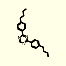 CCCCc1ccc(-c2ncnc(-c3ccc(CCCC)cc3)n2)cc1